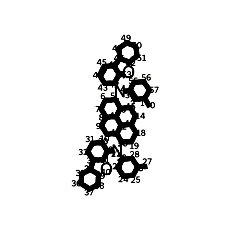 CC1C=C(N(C2CCC3CCC4C5C(CCC2C35)CCC4N(C2CCCC(C)C2)C2CCCC3C4CCCCC4OC32)C2CC=CC3C4CCCCC4OC32)CCC1